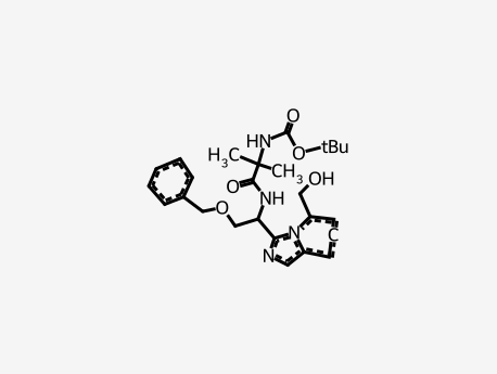 CC(C)(C)OC(=O)NC(C)(C)C(=O)NC(COCc1ccccc1)c1ncc2cccc(CO)n12